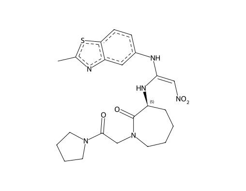 Cc1nc2cc(NC(=C[N+](=O)[O-])N[C@H]3CCCCN(CC(=O)N4CCCC4)C3=O)ccc2s1